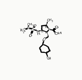 C[C@@H]1C[C@H](NS(=O)(=O)N(C)C)[C@H](COC2CCC(O)CC2)N1C(=O)O